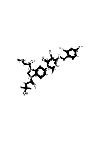 CNCC(=O)N1CN(C(=O)CC(C)(C)O)c2ccc(-n3c(C)nc(OCc4ccc(F)cc4F)c(Cl)c3=O)cc21